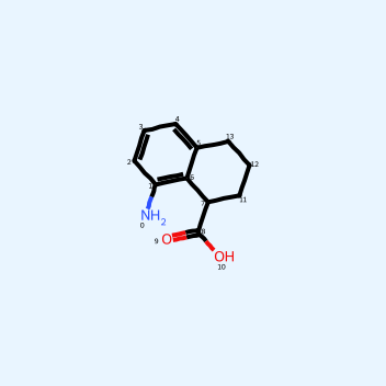 Nc1cccc2c1C(C(=O)O)CCC2